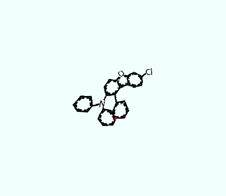 Clc1ccc2c(c1)oc1ccc(N(c3ccccc3)c3ccccc3)c(-c3ccccc3)c12